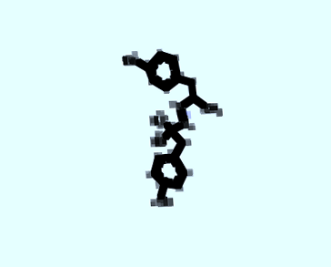 CC(Cc1ccc(C(C)(C)C)cc1)/N=N/C(C)(O)Cc1ccc(C(C)(C)C)cc1